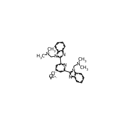 CN(C)Cn1c(-c2cccc(-c3nc4ccccc4n3CN(C)C)n2)nc2ccccc21.[Cl-].[Cl-].[V+2]